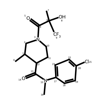 CC1CN(C(=O)C(C)(O)C(F)(F)F)CCC1C(=O)N(C)c1ccc(Cl)cc1